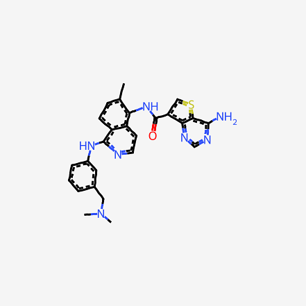 Cc1ccc2c(Nc3cccc(CN(C)C)c3)nccc2c1NC(=O)c1csc2c(N)ncnc12